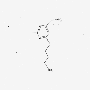 Cc1cc(CN)cc(CCCCN)c1